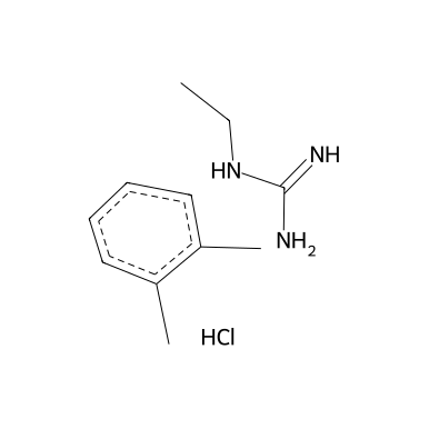 CCNC(=N)N.Cc1ccccc1C.Cl